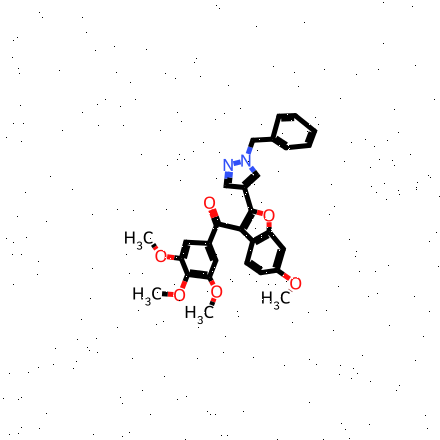 COc1ccc2c(C(=O)c3cc(OC)c(OC)c(OC)c3)c(-c3cnn(Cc4ccccc4)c3)oc2c1